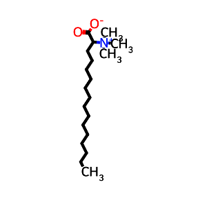 CCCCCCCCCCCCCCC(C(=O)[O-])[N+](C)(C)C